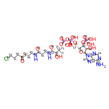 CC(C)(COP(=O)(O)OP(=O)(O)OC[C@H]1O[C@@H](n2cnc3c(N)ncnc32)[C@H](O)[C@@H]1OP(=O)(O)O)[C@@H](O)C(=O)NCCC(=O)NCCSC(=O)CCCCl